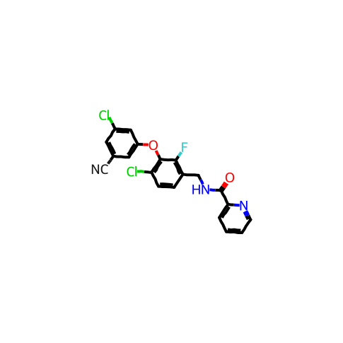 N#Cc1cc(Cl)cc(Oc2c(Cl)ccc(CNC(=O)c3ccccn3)c2F)c1